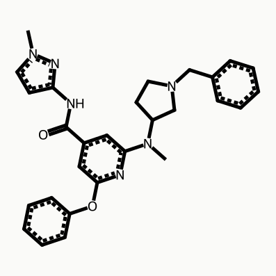 CN(c1cc(C(=O)Nc2ccn(C)n2)cc(Oc2ccccc2)n1)C1CCN(Cc2ccccc2)C1